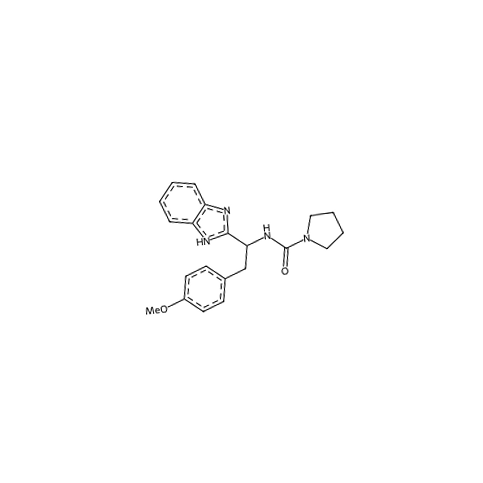 COc1ccc(CC(NC(=O)N2CCCC2)c2nc3ccccc3[nH]2)cc1